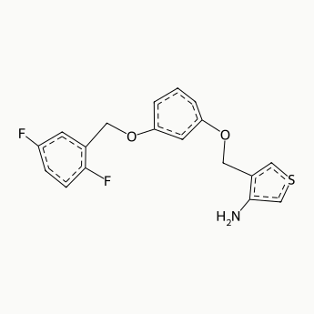 Nc1cscc1COc1cccc(OCc2cc(F)ccc2F)c1